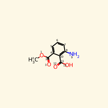 COC(=O)c1cccc(N)c1C(=O)O